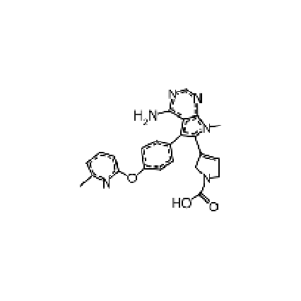 Cc1cccc(Oc2ccc(-c3c(C4=CCN(C(=O)O)C4)n(C)c4ncnc(N)c34)cc2)n1